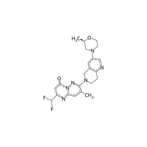 Cc1cc2nc(C(F)F)cc(=O)n2nc1N1CCc2ncc(N3CCO[C@H](C)C3)cc2C1